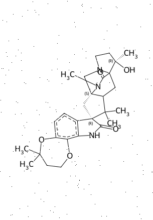 CN1C(=O)C23CC4C(C)(C)[C@@]5(C[C@@]41CN2CC[C@@]3(C)O)C(=O)Nc1c5ccc2c1OCCC(C)(C)O2